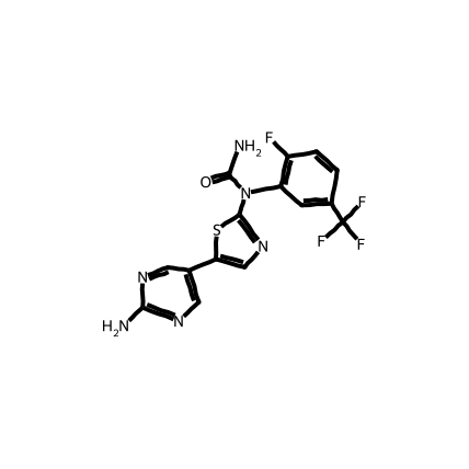 NC(=O)N(c1ncc(-c2cnc(N)nc2)s1)c1cc(C(F)(F)F)ccc1F